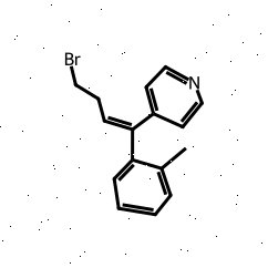 Cc1ccccc1C(=CCCBr)c1ccncc1